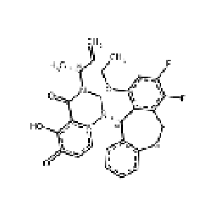 C=C[C@@H](C)N1CN([C@H]2c3ccccc3SCc3c(F)c(F)cc(OCC)c32)n2ccc(=O)c(O)c2C1=O